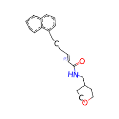 O=C(/C=C/CCCc1cccc2ccccc12)NCC1CCOCC1